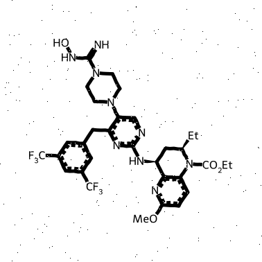 CCOC(=O)N1c2ccc(OC)nc2[C@@H](Nc2ncc(N3CCN(C(=N)NO)CC3)c(Cc3cc(C(F)(F)F)cc(C(F)(F)F)c3)n2)C[C@H]1CC